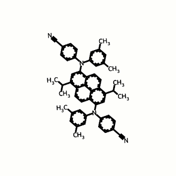 Cc1cc(C)cc(N(c2ccc(C#N)cc2)c2cc(C(C)C)c3ccc4c(N(c5ccc(C#N)cc5)c5cc(C)cc(C)c5)cc(C(C)C)c5ccc2c3c54)c1